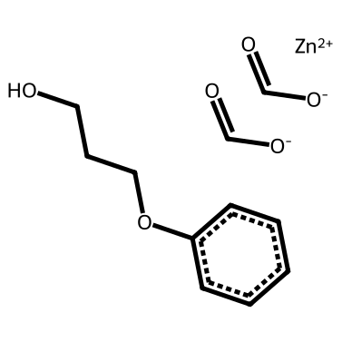 O=C[O-].O=C[O-].OCCCOc1ccccc1.[Zn+2]